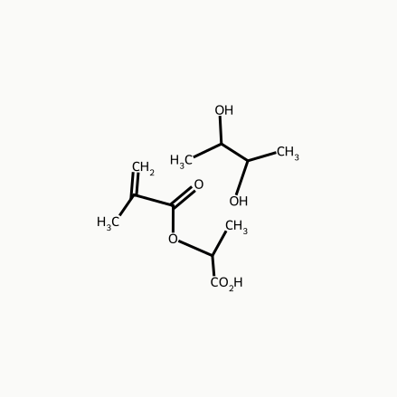 C=C(C)C(=O)OC(C)C(=O)O.CC(O)C(C)O